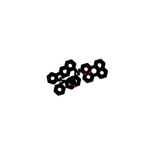 c1ccc(-c2cccc3cccc(-c4ccc(N(c5ccccc5)c5cccc6cc7c(cc56)S(c5ccccc5)(c5ccccc5)c5ccccc5-7)cc4)c23)cc1